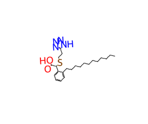 CCCCCCCCCCCCc1ccccc1C(SCCc1nnn[nH]1)C(=O)O